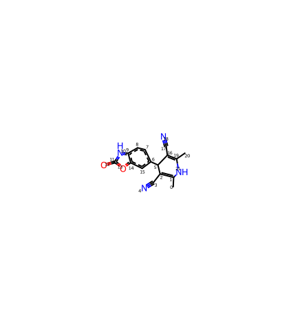 CC1=C(C#N)C(c2ccc3[nH]c(=O)oc3c2)C(C#N)=C(C)N1